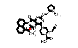 C=C(C)c1cccc2cccc(-n3c(C)nc4c(N5CCN(C(=O)O)[C@@H](CC#N)C5)nc(OC[C@@H]5CCCN5C)nc4c3=O)c12